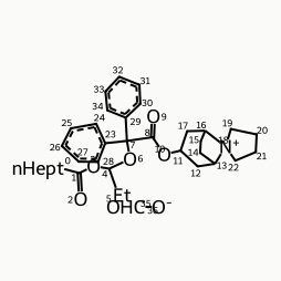 CCCCCCCC(=O)OC(CC)OC(C(=O)OC1CC2CCC(C1)[N+]21CCCC1)(c1ccccc1)c1ccccc1.O=C[O-]